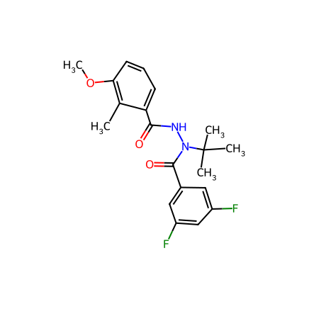 COc1cccc(C(=O)NN(C(=O)c2cc(F)cc(F)c2)C(C)(C)C)c1C